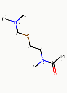 CC(C)C(=O)N(C)CCSCN(C)C(C)C